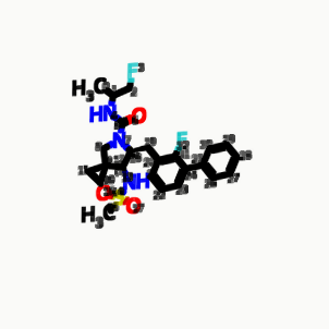 CC(CF)NC(=O)N1CC2(CC2)[C@H](NS(C)(=O)=O)[C@@H]1Cc1cccc(-c2ccccc2)c1F